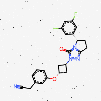 N#CCc1cccc(O[C@H]2C[C@H](n3nc4n(c3=O)[C@H](c3cc(F)cc(F)c3)CC4)C2)c1